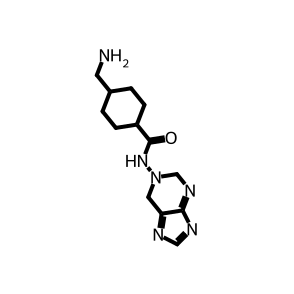 NCC1CCC(C(=O)NN2CN=C3N=CN=C3C2)CC1